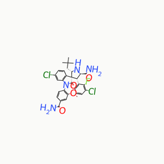 COc1cc(C(N)=O)ccc1N1C(=O)[C@]2(c3ccc(Cl)cc31)[C@H](CC(C)(C)C)N[C@@H](C(N)=O)[C@@H]2c1cccc(Cl)c1F